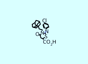 O=C(O)C1CC(=O)N(CCC23CC4CC(CC(C4)C2)C3)/C(=N\c2ccc(Cl)cc2)S1